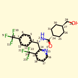 O=C(N[C@@H](c1ccc(C(F)(F)F)cc1)c1ncccc1C(F)(F)F)[C@H]1CC[C@H](CO)CC1